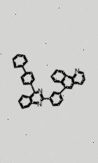 c1ccc(-c2ccc(-c3nc(-c4cccc(-c5cc6cccnc6c6ccccc56)c4)nc4ccccc34)cc2)cc1